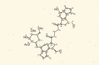 CC(=O)OC[C@H]1O[C@@H](Oc2cc3c(c4c(C)csc24)[C@H](CCl)CN3C(=O)CCCC(=O)N2C[C@@H](CCl)c3c2cc(O)c2scc(C)c32)[C@H](OC(C)=O)[C@@H](O)[C@@H]1OC(C)=O